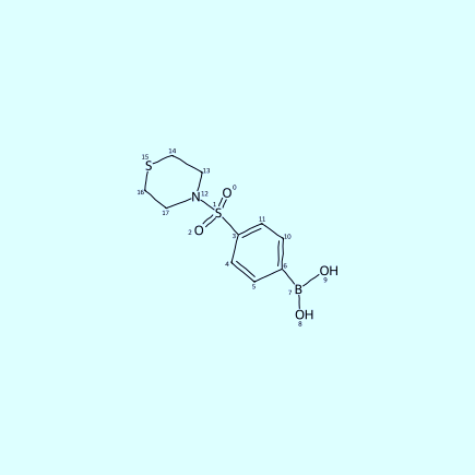 O=S(=O)(c1ccc(B(O)O)cc1)N1CCSCC1